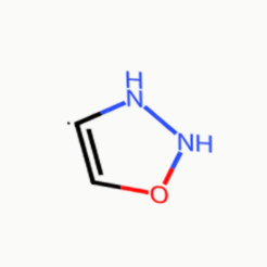 [C]1=CONN1